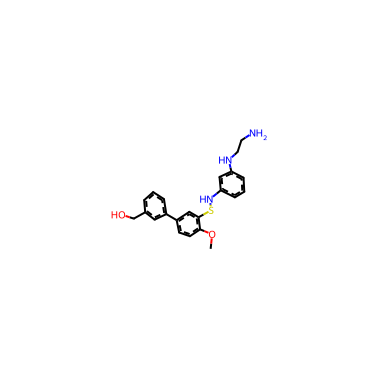 COc1ccc(-c2cccc(CO)c2)cc1SNc1cccc(NCCN)c1